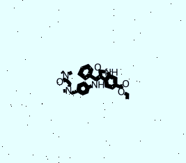 CCOC(=O)c1ccc2c(c1)NC(=O)C2=C(Nc1ccc(CN(C)CC(=O)N(C)C)cc1)c1ccccc1